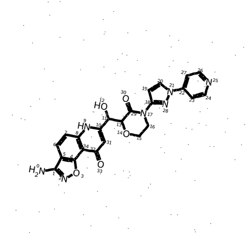 Nc1noc2c1ccc1[nH]c(C(O)C3OCCN(c4ccn(-c5ccncc5)n4)C3=O)cc(=O)c12